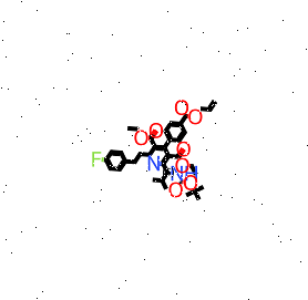 C=CCOC(=O)c1ccc(-c2c(C(=O)OCC)c(CCc3ccc(F)cc3)nc([C@@H](NC(=O)OC(C)(C)C)C(C)C)c2C(=O)OCC)cc1